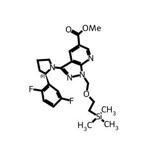 COC(=O)c1cnc2c(c1)c(N1CCC[C@@H]1c1cc(F)ccc1F)nn2COCC[Si](C)(C)C